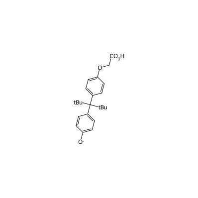 CC(C)(C)C(c1ccc([O])cc1)(c1ccc(OCC(=O)O)cc1)C(C)(C)C